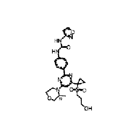 C[C@H]1COCCN1c1cc(C2(S(=O)(=O)CCCO)CC2)nc(-c2ccc(NC(=O)Nc3ccon3)cc2)n1